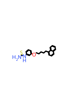 NC(=S)Nc1cccc(OCCCCCc2cccc3ccccc23)c1